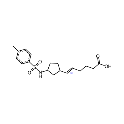 Cc1ccc(S(=O)(=O)NC2CCC(/C=C/CCCC(=O)O)C2)cc1